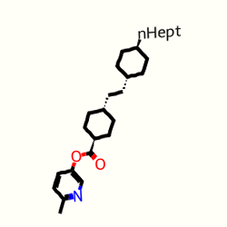 CCCCCCC[C@H]1CC[C@H](CC[C@H]2CC[C@H](C(=O)Oc3ccc(C)nc3)CC2)CC1